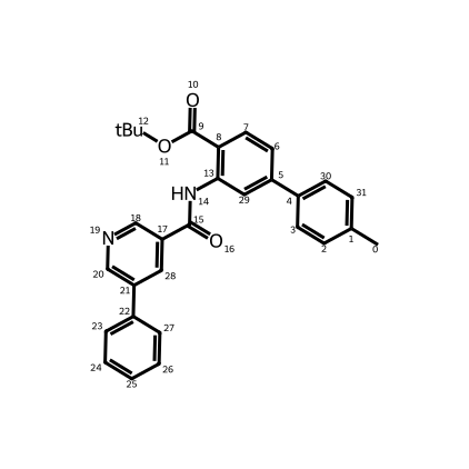 Cc1ccc(-c2ccc(C(=O)OC(C)(C)C)c(NC(=O)c3cncc(-c4ccccc4)c3)c2)cc1